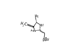 C=C1NC(=CCCCC)NC1C(C)C